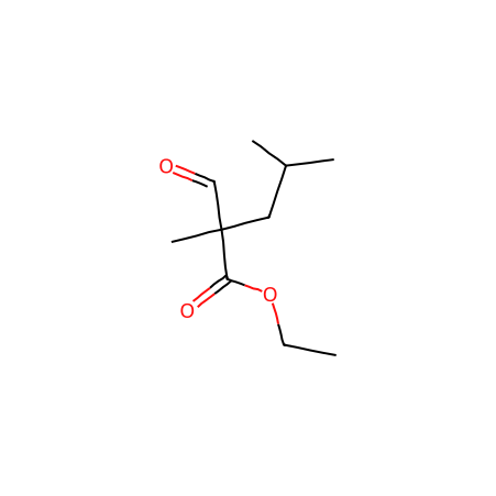 CCOC(=O)C(C)(C=O)CC(C)C